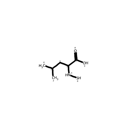 CC(C)CC(NS)C(=O)O